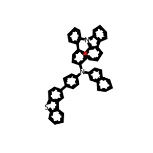 c1ccc(-n2c3ccccc3c3ccccc32)c(-c2ccc(N(c3ccc(-c4ccc5sc6ccccc6c5c4)cc3)c3ccc4ccccc4c3)cc2)c1